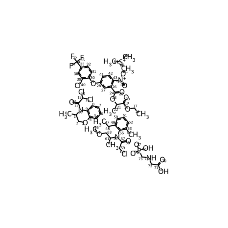 CC1COc2ccccc2N1C(=O)C(Cl)Cl.CCOC(=O)C(C)OC(=O)c1cc(Oc2ccc(C(F)(F)F)cc2Cl)ccc1[N+](=O)[O-].CCc1cccc(C)c1N(C(=O)CCl)C(C)COC.C[S+](C)C.O=C(O)CNCP(=O)([O-])O